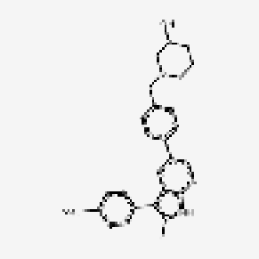 COc1ccc(-c2c(C)[nH]c3ncc(-c4ccc(CN5CCCC(O)C5)cc4)cc23)cn1